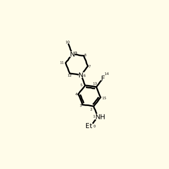 CCNc1ccc(N2CCN(C)CC2)c(F)c1